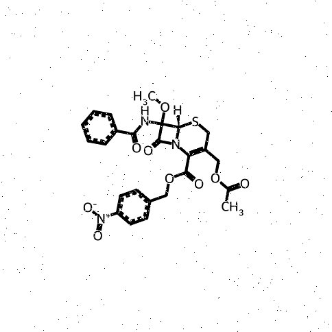 COC1(NC(=O)c2ccccc2)C(=O)N2C(C(=O)OCc3ccc([N+](=O)[O-])cc3)=C(COC(C)=O)CS[C@H]21